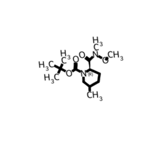 CON(C)C(=O)[C@H]1CCC(C)CN1C(=O)OC(C)(C)C